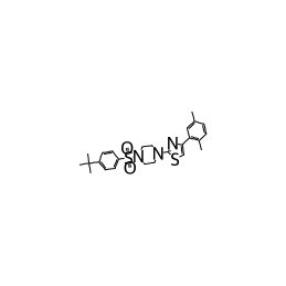 Cc1ccc(C)c(-c2csc(N3CCN(S(=O)(=O)c4ccc(C(C)(C)C)cc4)CC3)n2)c1